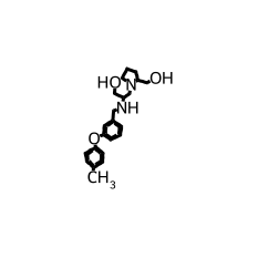 Cc1ccc(Oc2cccc(CNC(CO)CN3CCCC3CO)c2)cc1